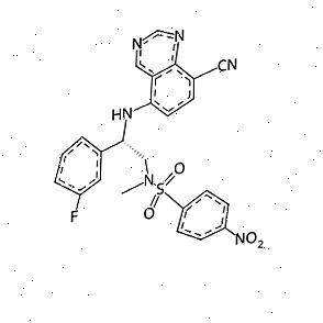 CN(C[C@@H](Nc1ccc(C#N)c2ncncc12)c1cccc(F)c1)S(=O)(=O)c1ccc([N+](=O)[O-])cc1